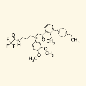 CCc1c(C(=O)C[C@H](CCCNC(=O)C(F)(F)F)c2ccc(OC)c(OC)c2)cccc1N1CCN(CC)CC1